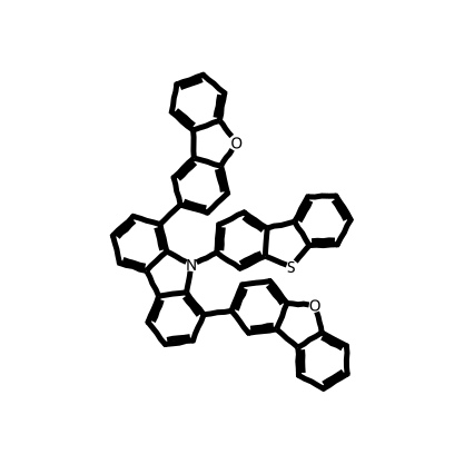 c1ccc2c(c1)oc1ccc(-c3cccc4c5cccc(-c6ccc7oc8ccccc8c7c6)c5n(-c5ccc6c(c5)sc5ccccc56)c34)cc12